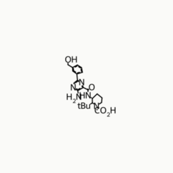 CC(C)(C)C1[C@@H](NC(=O)c2nc(-c3cccc(CO)c3)cnc2N)CCCN1C(=O)O